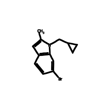 Cc1cc2ccc(Br)cc2n1CC1CC1